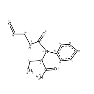 CCN(C(N)=O)N(C(=O)NC[C]=O)c1ccccc1